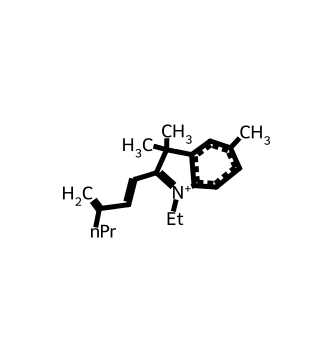 C=C(/C=C/C1=[N+](CC)c2ccc(C)cc2C1(C)C)CCC